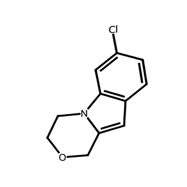 Clc1ccc2cc3n(c2c1)CCOC3